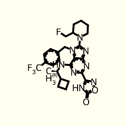 C[C@@H](Nc1nc(-c2noc(=O)[nH]2)nc2nc(N3CCCCC3CF)n(Cc3ccc(C(F)(F)F)cc3)c12)C1CCC1